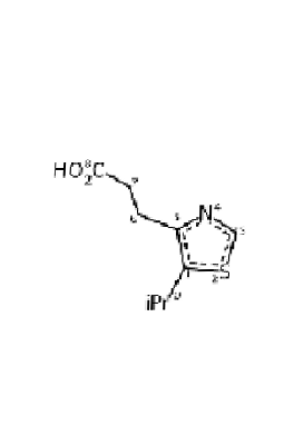 CC(C)c1s[c]nc1CCC(=O)O